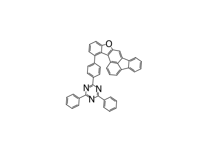 c1ccc(-c2nc(-c3ccccc3)nc(-c3ccc(-c4cccc5oc6cc7c8c(cccc8c6c45)-c4ccccc4-7)cc3)n2)cc1